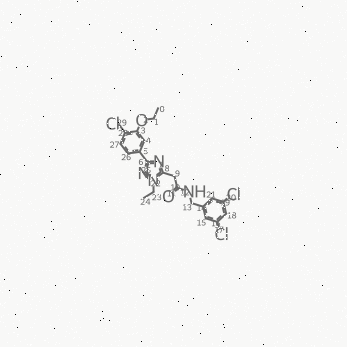 CCOc1cc(-c2nc(CC(=O)NCc3cc(Cl)cc(Cl)c3)n(CC)n2)ccc1Cl